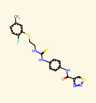 O=C(Nc1ccc(NC(=S)NCCSc2cc(C(F)(F)F)ccc2F)cc1)c1csnn1